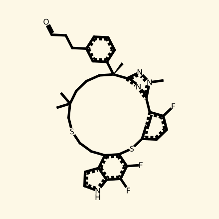 Cn1nc2nc1-c1cc(ccc1F)Sc1c(F)c(F)c3[nH]ccc3c1CCSCC(C)(C)CCC[C@]2(C)c1cccc(CCC=O)c1